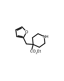 CCOC(=O)C1(Cc2ccco2)CCNCC1